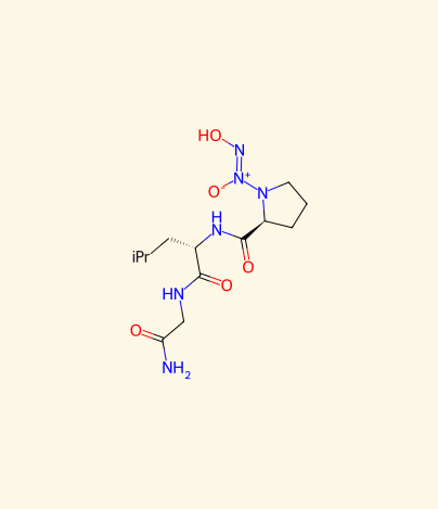 CC(C)C[C@H](NC(=O)[C@@H]1CCCN1/[N+]([O-])=N/O)C(=O)NCC(N)=O